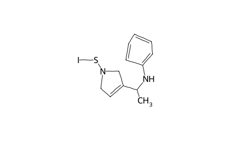 CC(Nc1ccccc1)C1=CCN(SI)C1